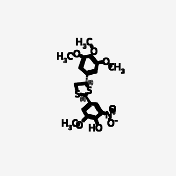 COc1cc([C@H]2SC[C@H](c3cc(OC)c(OC)c(OC)c3)S2)cc([N+](=O)[O-])c1O